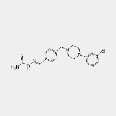 NC(=S)N/N=C/c1ccc(CN2CCN(c3cccc(Cl)c3)CC2)cc1